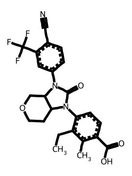 CCc1c(N2C(=O)N(c3ccc(C#N)c(C(F)(F)F)c3)C3COCCC32)ccc(C(=O)O)c1C